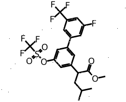 COC(=O)C(CC(C)C)c1cc(OS(=O)(=O)C(F)(F)F)cc(-c2cc(F)cc(C(F)(F)F)c2)c1